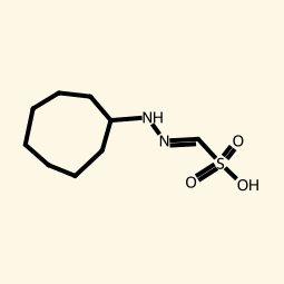 O=S(=O)(O)C=NNC1CCCCCCC1